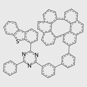 c1ccc(-c2nc(-c3cccc(-c4cccc(-c5cc6ccc7cccc8c9cccc%10ccc%11cccc(c(c5)c6c78)c%11c%109)c4)c3)nc(-c3cccc4c3sc3ccccc34)n2)cc1